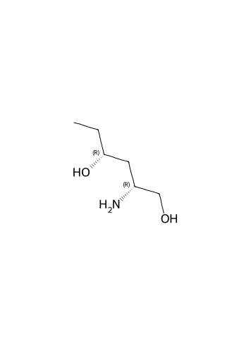 CC[C@@H](O)C[C@@H](N)CO